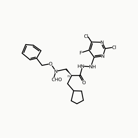 O=CN(C[C@H](CC1CCCC1)C(=O)NNc1nc(Cl)nc(Cl)c1F)OCc1ccccc1